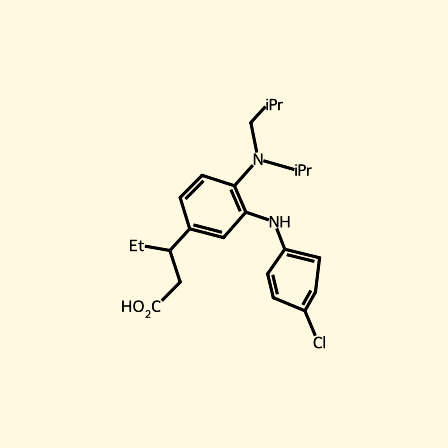 CCC(CC(=O)O)c1ccc(N(CC(C)C)C(C)C)c(Nc2ccc(Cl)cc2)c1